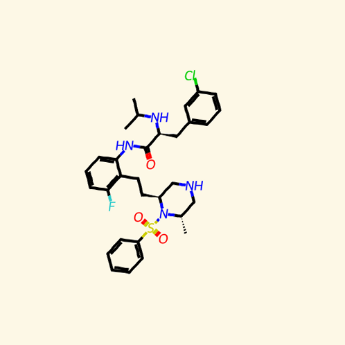 CC(C)N[C@@H](Cc1cccc(Cl)c1)C(=O)Nc1cccc(F)c1CC[C@H]1CNC[C@H](C)N1S(=O)(=O)c1ccccc1